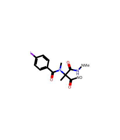 CNNC(=O)C(C)(C(=O)N=O)N(C)C(=O)c1ccc(I)cc1